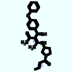 C/C=C/C(=O)N1CCC(N/C(N)=C(\C(=N)c2ccc(Oc3ccccc3)cc2)C(N)=O)C1